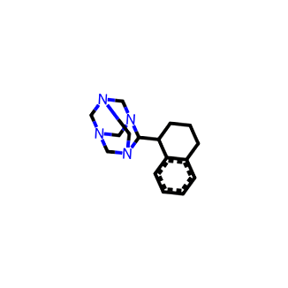 c1ccc2c(c1)CCCC2C1N2CN3CN(C2)CN1C3